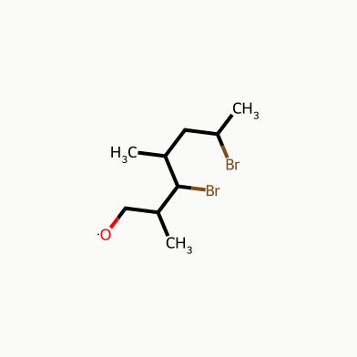 CC(Br)CC(C)C(Br)C(C)C[O]